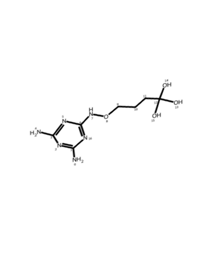 Nc1nc(N)nc(NOCCCC(O)(O)O)n1